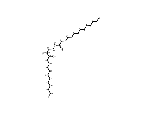 CCCCCCCCCCCCCC(=O)OCCN(C)C(=O)CCCCCCCCCCC